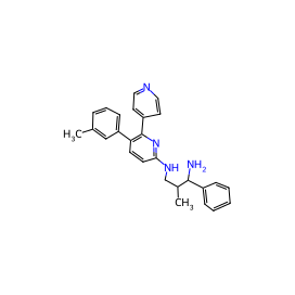 Cc1cccc(-c2ccc(NCC(C)C(N)c3ccccc3)nc2-c2ccncc2)c1